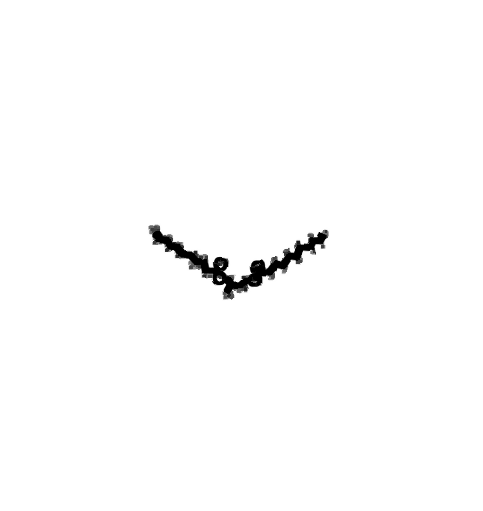 C=CCCCCCCCCC(=O)OCCC(C)COC(=O)CCCCCCCCC=C